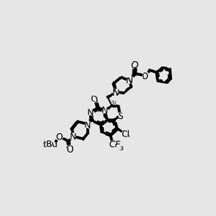 CC(C)(C)OC(=O)N1CCN(c2nc(=O)n3c4c(c(Cl)c(C(F)(F)F)cc24)SC[C@@H]3CN2CCN(C(=O)OCc3ccccc3)CC2)CC1